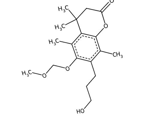 COCOc1c(C)c2c(c(C)c1CCCO)OC(=O)CC2(C)C